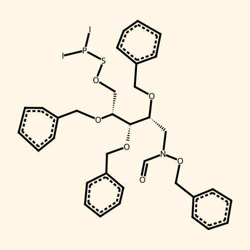 O=CN(C[C@@H](OCc1ccccc1)[C@H](OCc1ccccc1)[C@@H](COSP(I)I)OCc1ccccc1)OCc1ccccc1